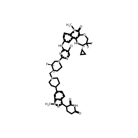 Cn1nc(C2CCC(=O)NC2=O)c2ccc(C3CCN(C[C@@H]4CCN(c5ncc(Cl)c(Nc6ccc7c(c6)c6c(c(=O)n7C)OCC(F)(F)[C@H](C7CC7)N6)n5)C[C@@H]4F)CC3)cc21